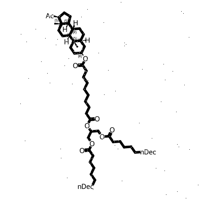 CCCCCCCCCCCCCCCC(=O)OCC(COC(=O)CCCCCCCCCCCCCCC)OC(=O)CCCCCCCCC(=O)O[C@@H]1CC[C@@]2(C)[C@@H](CC[C@@H]3[C@@H]2CC[C@]2(C)[C@@H](C(C)=O)CC[C@@H]32)C1